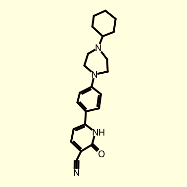 N#Cc1ccc(-c2ccc(N3CCN(C4CCCCC4)CC3)cc2)[nH]c1=O